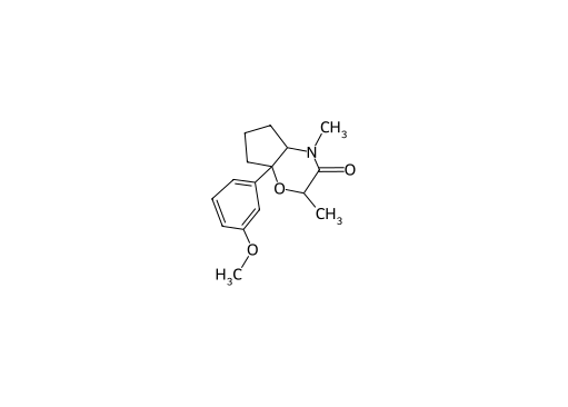 COc1cccc(C23CCCC2N(C)C(=O)C(C)O3)c1